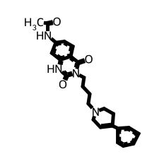 CC(=O)Nc1ccc2c(=O)n(CCCCN3CC=C(c4ccccc4)CC3)c(=O)[nH]c2c1